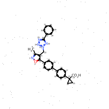 Cc1noc(-c2ccc(-c3ccc(C4(C(=O)O)CC4)cc3)cc2)c1Cn1nnc(-c2ccccc2)n1